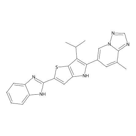 Cc1cc(-c2[nH]c3cc(-c4nc5ccccc5[nH]4)sc3c2C(C)C)cn2ncnc12